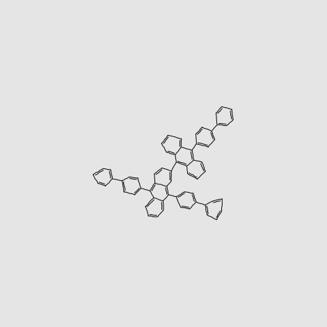 c1ccc(-c2ccc(-c3c4ccccc4c(-c4ccc5c(-c6ccc(-c7ccccc7)cc6)c6ccccc6c(-c6ccc(-c7ccccc7)cc6)c5c4)c4ccccc34)cc2)cc1